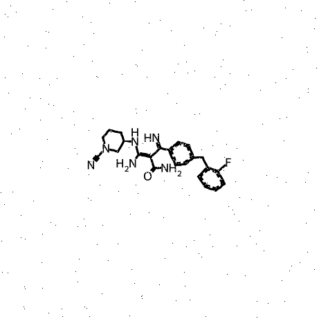 N#CN1CCC[C@@H](N/C(N)=C(\C(=N)c2ccc(Cc3ccccc3F)cc2)C(N)=O)C1